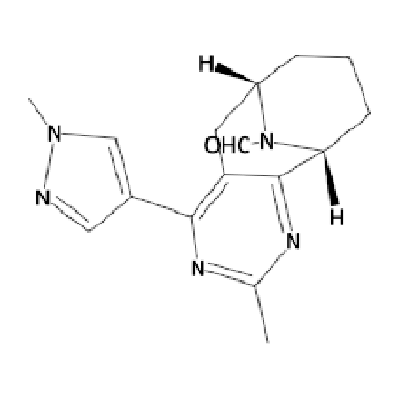 Cc1nc(-c2cnn(C)c2)c2c(n1)[C@H]1CCC[C@@H](C2)N1C=O